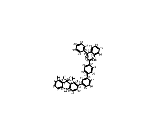 CC1(C)c2ccccc2Oc2ccc(-c3cccc(-c4ccc(-c5nc(-c6ccccc6)c6ccccc6n5)cc4)c3)cc21